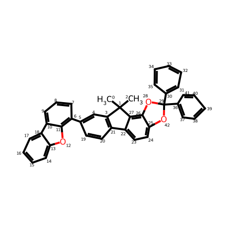 CC1(C)c2cc(-c3cccc4c3oc3ccccc34)ccc2-c2ccc3c(c21)OC(c1ccccc1)(c1ccccc1)O3